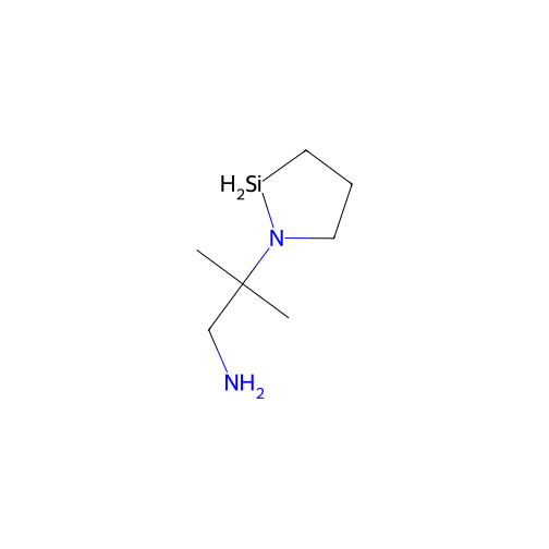 CC(C)(CN)N1CCC[SiH2]1